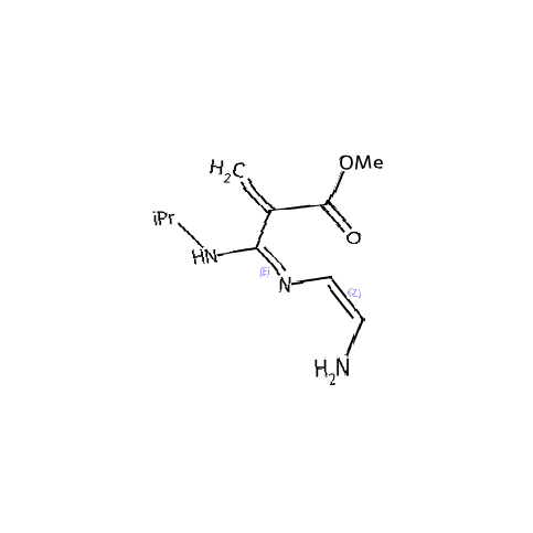 C=C(C(=O)OC)/C(=N\C=C/N)NC(C)C